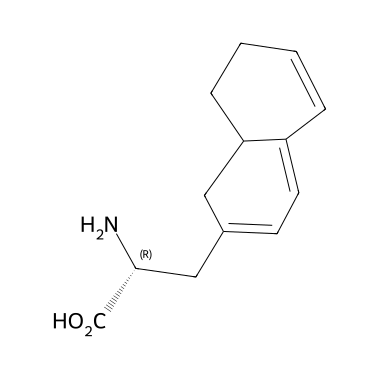 N[C@H](CC1=CC=C2C=CCCC2C1)C(=O)O